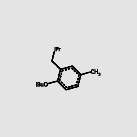 Cc1ccc(OCC(C)C)c(CC(C)C)c1